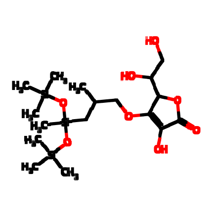 CC(COC1=C(O)C(=O)OC1C(O)CO)C[Si](C)(O[Si](C)(C)C)O[Si](C)(C)C